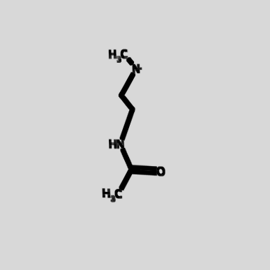 C[N]CCNC(C)=O